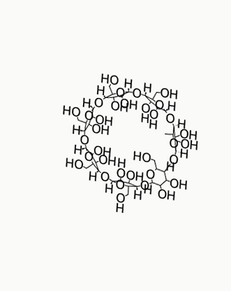 CC1O[C@@H]2O[C@@H]3C(CO)O[C@H](O[C@@H]4C(CO)O[C@H](O[C@@H]5C(CO)O[C@H](O[C@@H]6C(CO)O[C@H](O[C@@H]7C(CO)O[C@H](O[C@@H]8C(CO)O[C@H](O[C@H]1C(O)C2O)C(O)C8O)C(O)C7O)C(O)C6O)C(O)C5O)C(O)C4O)C(O)C3O